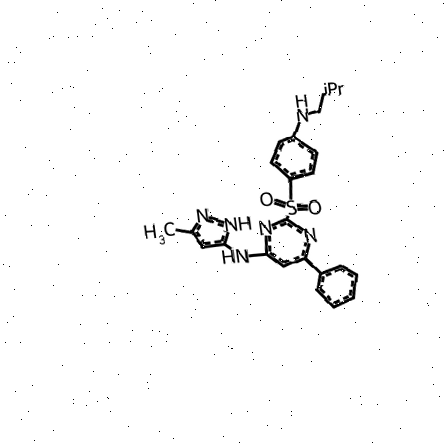 Cc1cc(Nc2cc(-c3ccccc3)nc(S(=O)(=O)c3ccc(NCC(C)C)cc3)n2)[nH]n1